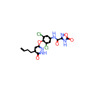 C=CCCc1cc(Oc2c(Cl)cc(NC(=O)c3noc(=O)[nH]3)cc2Cl)n[nH]c1=O